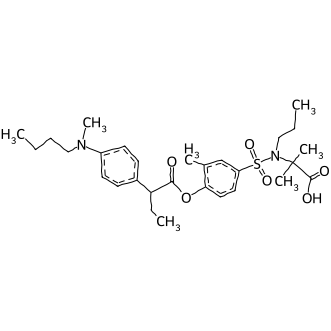 CCCCN(C)c1ccc(C(CC)C(=O)Oc2ccc(S(=O)(=O)N(CCC)C(C)(C)C(=O)O)cc2C)cc1